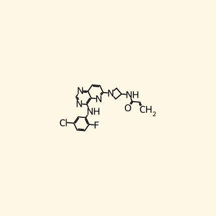 C=CC(=O)NC1CN(c2ccc3ncnc(Nc4cc(Cl)ccc4F)c3n2)C1